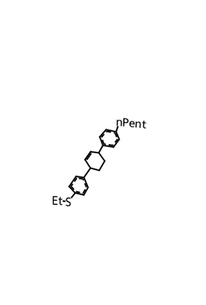 CCCCCc1ccc(C2C=CC(c3ccc(SCC)cc3)CC2)cc1